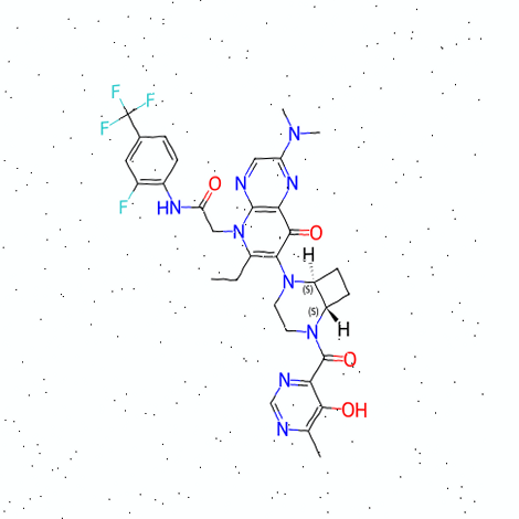 CCc1c(N2CCN(C(=O)c3ncnc(C)c3O)[C@H]3CC[C@@H]32)c(=O)c2nc(N(C)C)cnc2n1CC(=O)Nc1ccc(C(F)(F)F)cc1F